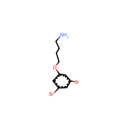 NCCCCOc1cc(Br)cc(Br)c1